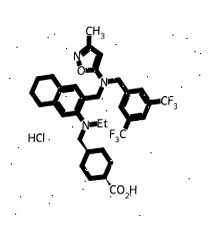 CCN(C[C@H]1CC[C@H](C(=O)O)CC1)c1cc2c(cc1CN(Cc1cc(C(F)(F)F)cc(C(F)(F)F)c1)c1cc(C)no1)CCCC2.Cl